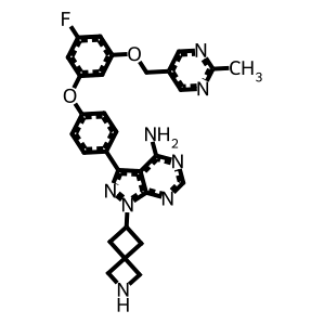 Cc1ncc(COc2cc(F)cc(Oc3ccc(-c4nn(C5CC6(CNC6)C5)c5ncnc(N)c45)cc3)c2)cn1